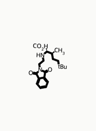 C[C@@H](CCC(C)(C)C)[C@H](NCCN1C(=O)c2ccccc2C1=O)C(=O)O